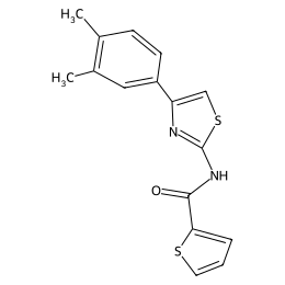 Cc1ccc(-c2csc(NC(=O)c3cccs3)n2)cc1C